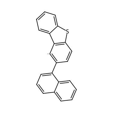 [c]1c(-c2cccc3ccccc23)ccc2sc3ccccc3c12